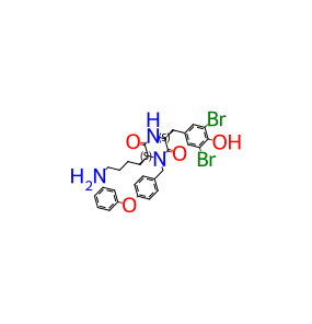 NCCCC[C@H]1C(=O)N[C@@H](Cc2cc(Br)c(O)c(Br)c2)C(=O)N1Cc1ccc(Oc2ccccc2)cc1